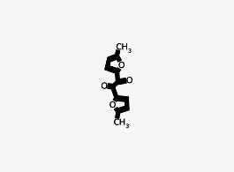 Cc1ccc(C(=O)C(=O)c2ccc(C)o2)o1